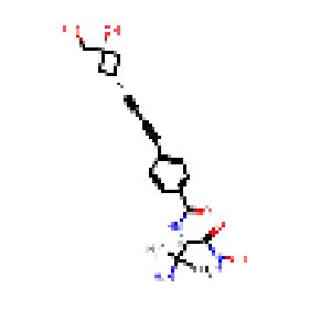 CC(C)(N)[C@H](NC(=O)c1ccc(C#CC#C[C@H]2C[C@](O)(CO)C2)cc1)C(=O)NO